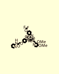 COc1ccnc(CNS(=O)(=O)c2nc3ccc(OC(F)F)cc3n2S(=O)(=O)c2ccc(OCC(=O)Nc3ccccn3)cc2)c1OC